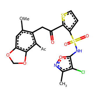 COc1cc2c(c(C(C)=O)c1CC(=O)c1sccc1S(=O)(=O)Nc1onc(C)c1Cl)OCO2